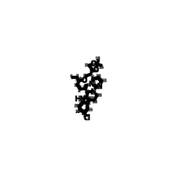 C=C(/C=C\C(=C/C)OCC[C@H]1COC(C)(C)O1)[C@H]1c2[nH]c3ccc(Cl)cc3c2CCN1c1ncccn1